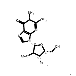 COC1[C@@H](O)[C@@H](CO)O[C@H]1n1cnc2c1N=C(N)C(N)C2=O